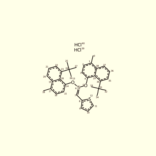 Cc1ccc([O][Ti](=[CH]c2cccs2)[O]c2ccc(C)c3cccc(C(C)(C)C)c23)c2c(C(C)(C)C)cccc12.Cl.Cl